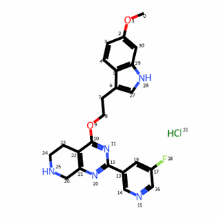 COc1ccc2c(CCOc3nc(-c4cncc(F)c4)nc4c3CCNC4)c[nH]c2c1.Cl